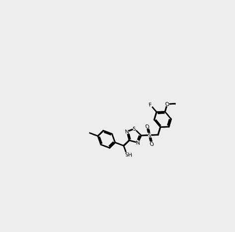 COc1ccc(CS(=O)(=O)c2nc(C(S)c3ccc(C)cc3)ns2)cc1F